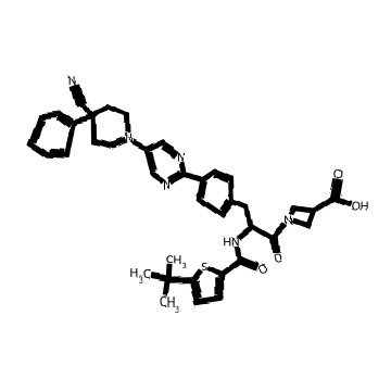 CC(C)(C)c1ccc(C(=O)NC(Cc2ccc(-c3ncc(N4CCC(C#N)(c5ccccc5)CC4)cn3)cc2)C(=O)N2CC(C(=O)O)C2)s1